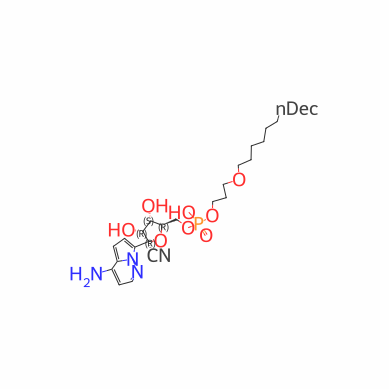 CCCCCCCCCCCCCCCCOCCCOP(=O)(O)OC[C@H]1O[C@@](C#N)(c2ccc3c(N)ccnn23)[C@H](O)[C@@H]1O